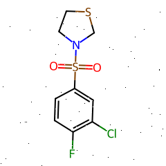 O=S(=O)(c1ccc(F)c(Cl)c1)N1CCSC1